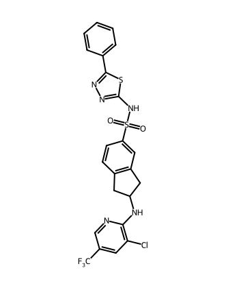 O=S(=O)(Nc1nnc(-c2ccccc2)s1)c1ccc2c(c1)CC(Nc1ncc(C(F)(F)F)cc1Cl)C2